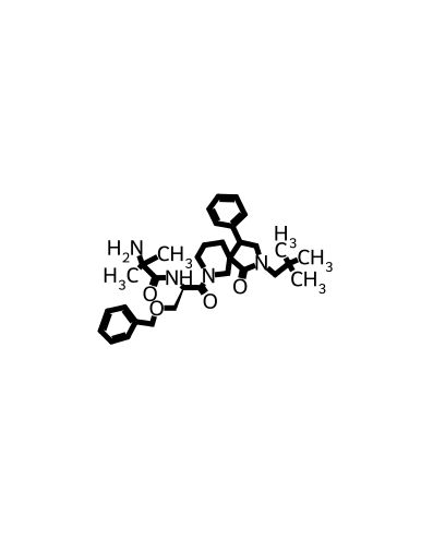 CC(C)(C)CN1CC(c2ccccc2)C2(CCCN(C(=O)[C@@H](COCc3ccccc3)NC(=O)C(C)(C)N)C2)C1=O